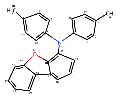 Cc1ccc(N(c2ccc(C)cc2)c2cccc3c2oc2ccccc23)cc1